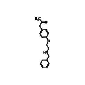 CC(=O)Cc1ccc(OCCNCc2ccccc2)cc1